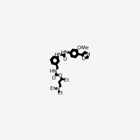 CCC(CCN(CC)CC)OC(=O)NCc1cccc(NC(=O)Nc2ccc(-c3cnco3)c(OC)c2)c1